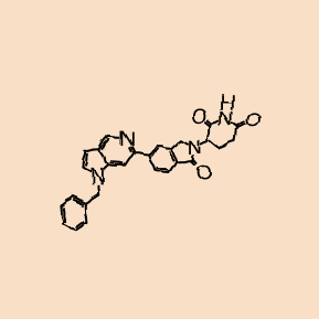 O=C1CCC(N2Cc3cc(-c4cc5c(ccn5Cc5ccccc5)cn4)ccc3C2=O)C(=O)N1